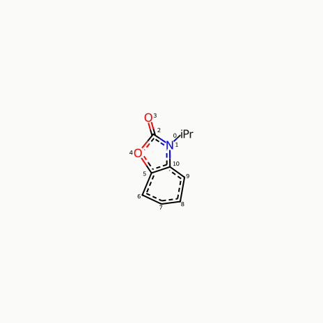 CC(C)n1c(=O)oc2ccccc21